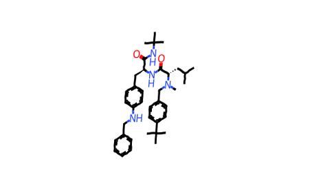 CC(C)C[C@@H](C(=O)N[C@@H](Cc1ccc(NCc2ccccc2)cc1)C(=O)NC(C)(C)C)N(C)Cc1ccc(C(C)(C)C)cc1